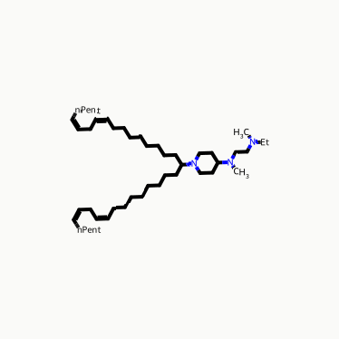 CCCCC/C=C\C/C=C\CCCCCCCCC(CCCCCCCC/C=C\C/C=C\CCCCC)N1CCC(N(C)CCN(C)CC)CC1